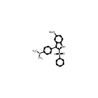 COc1ccc2[nH]c(S(=O)(=O)c3ccccc3)c(-c3ccc(N(C)C)cc3)c2c1